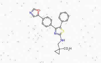 O=C(O)C1(CNc2nc(-c3ccc(-c4cnco4)cc3)c(-c3ccccc3)s2)CC1